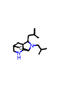 CC(C)CC1C2CC3CNC2C(C3)N1CC(C)C